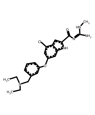 CCN(CC)Cc1cccc(Oc2cc(Cl)c3cc(C(=O)N=C(N)NC)[nH]c3c2)c1